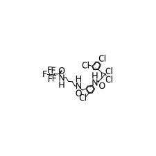 O=C(NCCCCNC(=O)C(F)(F)C(F)(F)F)c1cc(NC(=O)C2C(c3cc(Cl)cc(Cl)c3)C2(Cl)Cl)ccc1Cl